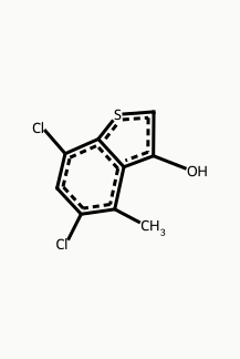 Cc1c(Cl)cc(Cl)c2scc(O)c12